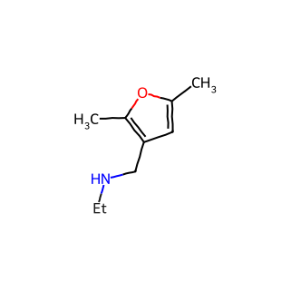 CCNCc1cc(C)oc1C